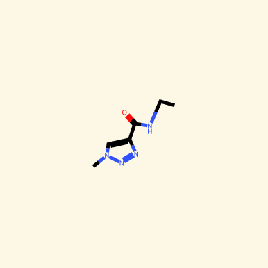 CCNC(=O)c1cn(C)nn1